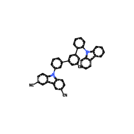 N#Cc1cc(-c2cccc(-n3c4ccc(C#N)cc4c4cc(C#N)ccc43)c2)cc(-c2ccccc2-n2c3ccccc3c3ccccc32)c1